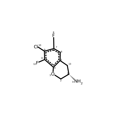 N[C@@H]1COc2c(cc(F)c(Cl)c2F)C1